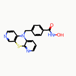 O=C(NO)c1ccc(CN2c3ccncc3Sc3ncccc32)cc1